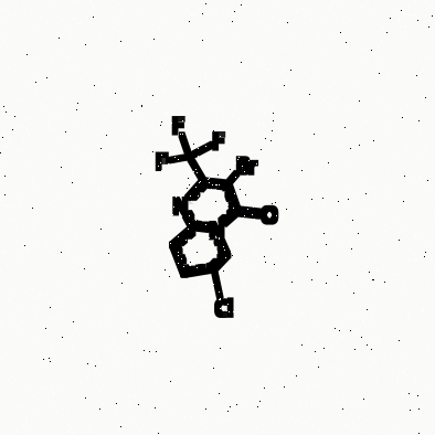 O=c1c(Br)c(C(F)(F)F)nc2ccc(Cl)cn12